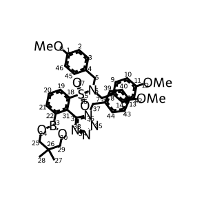 COc1ccc(CN(Cc2ccc(OC)cc2)S(=O)(=O)c2cccc(B3OCC(C)(C)CO3)c2-c2nnnn2Cc2ccc(OC)cc2)cc1